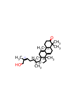 C/C(=C/CC[C@@H](C)[C@H]1CC[C@@]2(C)C3=CCC4C(C)(C)C(=O)CC[C@]4(C)C3=CC[C@]12C)CO